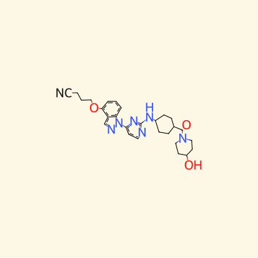 N#CCCCOc1cccc2c1cnn2-c1ccnc(NC2CCC(C(=O)N3CCC(O)CC3)CC2)n1